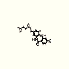 CN(C)CCN(C)CCc1ccc2c(c1)NC(=O)c1ccc(Cl)cc1N2